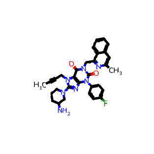 CC#CCn1c(N2CCCC(N)C2)nc2c1c(=O)n(Cc1nc(C)cc3ccccc13)c(=O)n2-c1ccc(F)cc1